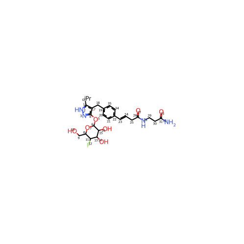 CC(C)c1[nH]nc(OC2OC(CO)C(F)C(O)C2O)c1Cc1ccc(/C=C/CC(=O)NCCC(N)=O)cc1